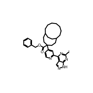 O=C(OCc1ccccc1)C1(c2ccnc(-c3nc(I)nc4[nH]ncc34)c2)CCC2CCCCCCCC(CC2)CC1